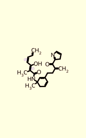 C=C/C=C\C(O)=C(/C)C(=O)NC1(C)C=C(CCC(=C)C(=O)C2=NC=CC2)C=CC1